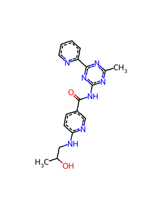 Cc1nc(NC(=O)c2ccc(NCC(C)O)nc2)nc(-c2ccccn2)n1